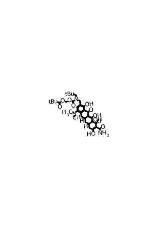 CN(C)c1cc(CN(CC(C)(C)C)C(=O)OCOC(=O)C(C)(C)C)c(O)c2c1C[C@H]1C[C@H]3CC(O)=C(C(N)=O)C(=O)[C@@]3(O)C(O)=C1C2=O